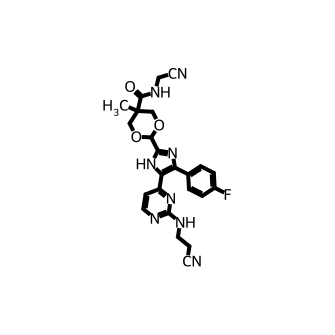 CC1(C(=O)NCC#N)COC(c2nc(-c3ccc(F)cc3)c(-c3ccnc(NCCC#N)n3)[nH]2)OC1